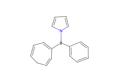 C1=CCC=CC(B(c2ccccc2)n2cccc2)=C1